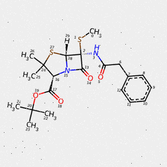 CS[C@@]1(NC(=O)Cc2ccccc2)C(=O)N2[C@@H](C(=O)OC(C)(C)C)C(C)(C)S[C@@H]21